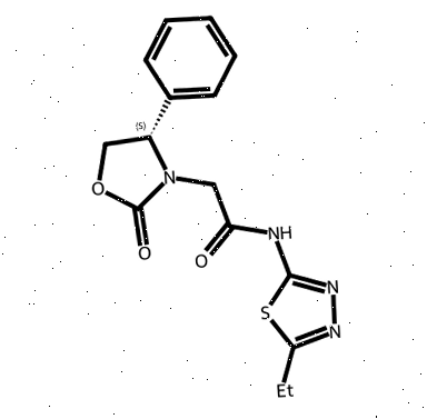 CCc1nnc(NC(=O)CN2C(=O)OC[C@@H]2c2ccccc2)s1